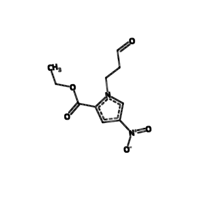 CCOC(=O)c1cc([N+](=O)[O-])cn1CCC=O